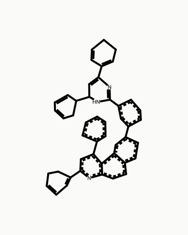 C1=CCCC(c2cc(-c3ccccc3)c3c(ccc4ccc(-c5cccc(C6=NC(C7=CCCC=C7)=CC(C7C=CC=CC7)N6)c5)cc43)n2)=C1